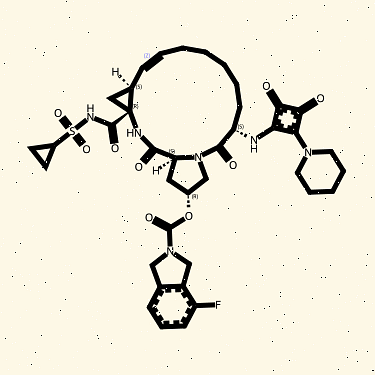 O=C1N[C@]2(C(=O)NS(=O)(=O)C3CC3)C[C@H]2/C=C\CCCCC[C@H](Nc2c(N3CCCCC3)c(=O)c2=O)C(=O)N2C[C@H](OC(=O)N3Cc4cccc(F)c4C3)C[C@@H]12